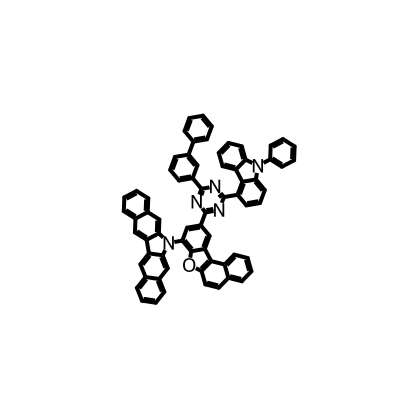 c1ccc(-c2cccc(-c3nc(-c4cc(-n5c6cc7ccccc7cc6c6cc7ccccc7cc65)c5oc6ccc7ccccc7c6c5c4)nc(-c4cccc5c4c4ccccc4n5-c4ccccc4)n3)c2)cc1